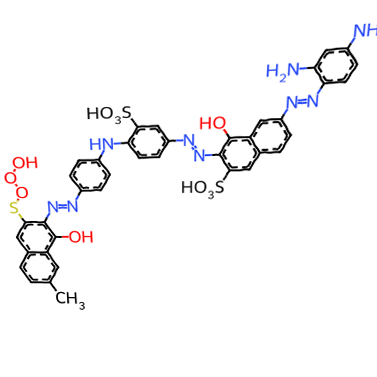 Cc1ccc2cc(SOOO)c(N=Nc3ccc(Nc4ccc(N=Nc5c(S(=O)(=O)O)cc6ccc(N=Nc7ccc(N)cc7N)cc6c5O)cc4S(=O)(=O)O)cc3)c(O)c2c1